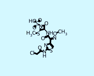 CO/N=C(\C(=O)N[C@@H]1C(=O)N(S(=O)(=O)O)[C@H]1SC)c1csc(NC(=O)CCl)n1